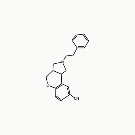 N#Cc1ccc2c(c1)C1CN(CCc3ccccc3)CC1CO2